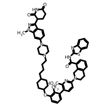 Cn1nc(C2CCC(=O)NC2=O)c2ccc(N3CCN(CCCCC4CCC(Oc5cccc(-c6ccc(N7CCc8cccc(C(=O)Nc9nc%10ccccc%10s9)c8C7)nc6C(=O)O)c5C(F)(F)F)CC4)CC3)cc21